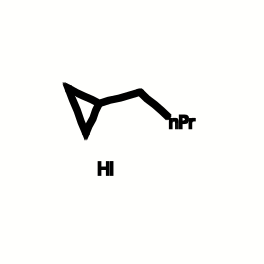 CCCCC1CC1.I